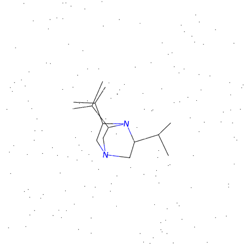 CC(C)C1CN2CC(C(C)C)N1C(C(C)C)C2